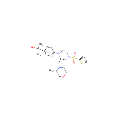 CC1COCCN1CC1CN(S(=O)(=O)c2cccs2)CCN1c1ccc(C(C)(O)C(F)(F)F)cc1